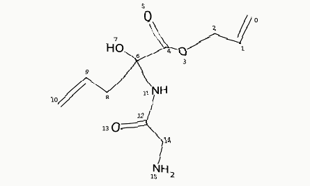 C=CCOC(=O)C(O)(CC=C)NC(=O)CN